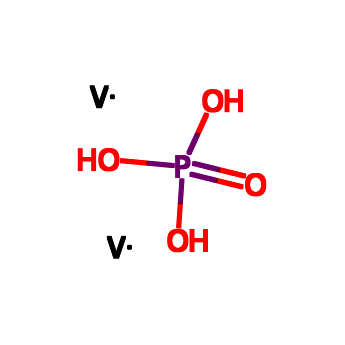 O=P(O)(O)O.[V].[V]